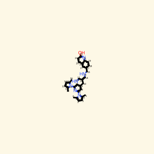 Cc1ccc(C)n1-c1cc(C/C(C=N)=C/NCc2ccc3nc(O)ccc3c2)cc(-n2c(C)ccc2C)n1